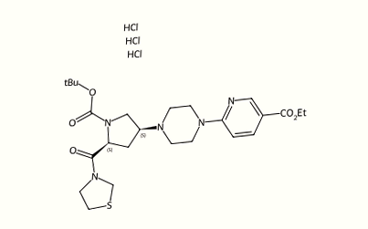 CCOC(=O)c1ccc(N2CCN([C@H]3C[C@@H](C(=O)N4CCSC4)N(C(=O)OC(C)(C)C)C3)CC2)nc1.Cl.Cl.Cl